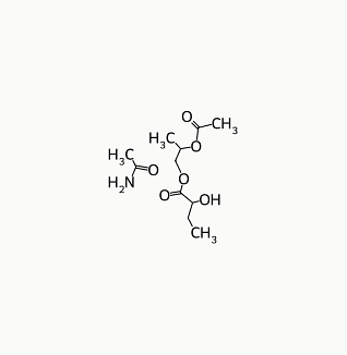 CC(N)=O.CCC(O)C(=O)OCC(C)OC(C)=O